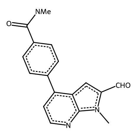 CNC(=O)c1ccc(-c2ccnc3c2cc(C=O)n3C)cc1